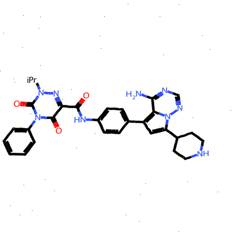 CC(C)n1nc(C(=O)Nc2ccc(-c3cc(C4CCNCC4)n4ncnc(N)c34)cc2)c(=O)n(-c2ccccc2)c1=O